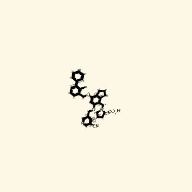 Cc1c(COc2cc(OCc3cncc(C#N)c3)c(CN3C[C@H](O)C[C@H]3C(=O)O)c3c2CCC3)cccc1-c1ccccc1